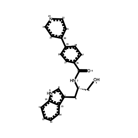 O=C(N[C@H](CO)Cc1c[nH]c2ccccc12)c1ccc(-c2ccncc2)cc1